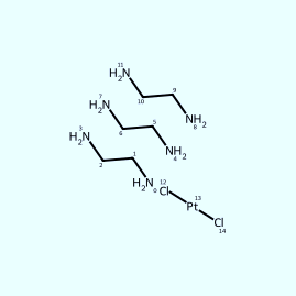 NCCN.NCCN.NCCN.[Cl][Pt][Cl]